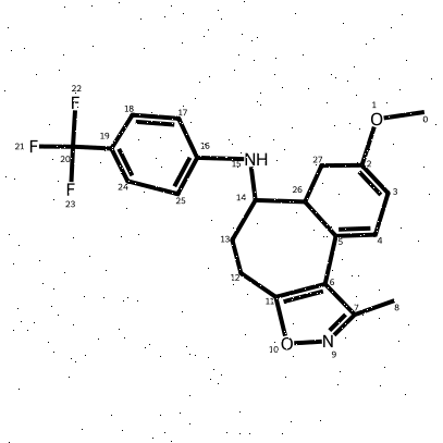 COC1=CC=C2c3c(C)noc3CCC(Nc3ccc(C(F)(F)F)cc3)C2C1